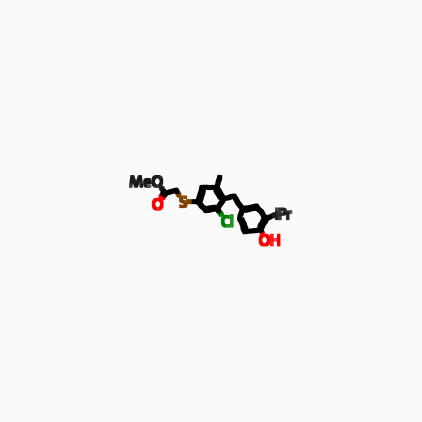 COC(=O)CSc1cc(C)c(Cc2ccc(O)c(C(C)C)c2)c(Cl)c1